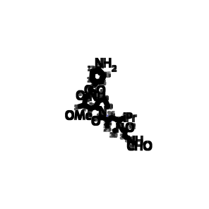 COC(C(C)C(=O)NS(=O)(=O)c1ccc(N)cc1)C1CCCN1C(=O)/C(C)=C/C(C(C)C)N(C)C(=O)CNC=O